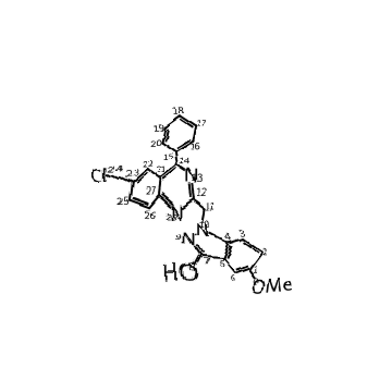 COc1ccc2c(c1)c(O)nn2Cc1nc(-c2ccccc2)c2cc(Cl)ccc2n1